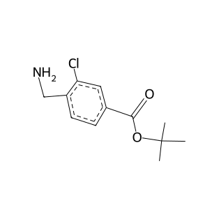 CC(C)(C)OC(=O)c1ccc(CN)c(Cl)c1